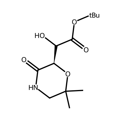 CC(C)(C)OC(=O)C(O)[C@H]1OC(C)(C)CNC1=O